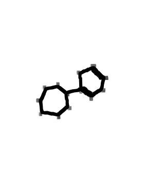 [C]1=C(C2CCCCCC2)CC=CC1